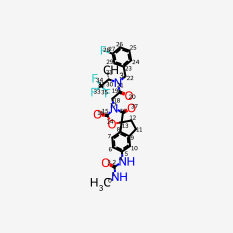 CNC(=O)Nc1ccc2c(c1)CCC21OC(=O)N(CC(=O)N(Cc2cccc(F)c2)[C@@H](C)C(F)(F)F)C1=O